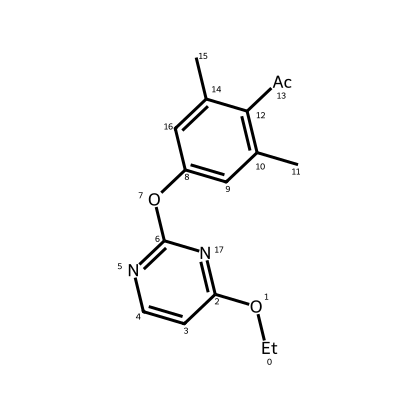 CCOc1ccnc(Oc2cc(C)c(C(C)=O)c(C)c2)n1